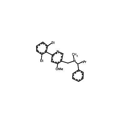 CCCC(c1ccccc1)N(C)Cc1cnc(-c2c(CC)cccc2CC)cc1OC